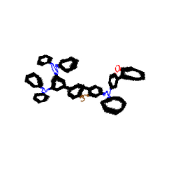 c1ccc(N(c2ccccc2)c2cc(-c3ccc4sc5cc(N(c6ccccc6)c6ccc7oc8ccccc8c7c6)ccc5c4c3)cc(N(c3ccccc3)c3ccccc3)c2)cc1